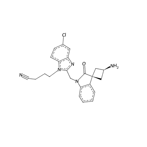 N#CCCCn1c(CN2c3ccccc3[C@]3(C[C@H](N)C3)C2=O)nc2cc(Cl)ccc21